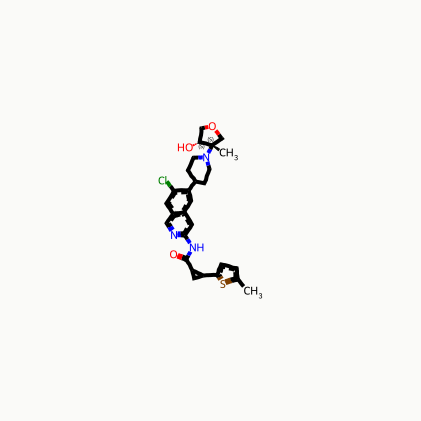 Cc1ccc(C2CC2C(=O)Nc2cc3cc(C4CCN([C@@]5(C)COC[C@H]5O)CC4)c(Cl)cc3cn2)s1